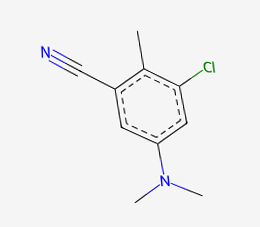 Cc1c(Cl)cc(N(C)C)cc1C#N